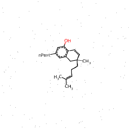 CCCCCc1cc(O)c2c(c1)CC(C)(CCC=C(C)C)C=C2